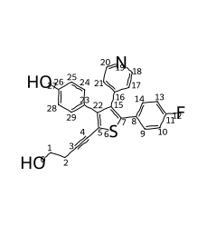 OCCC#Cc1sc(-c2ccc(F)cc2)c(-c2ccncc2)c1-c1ccc(O)cc1